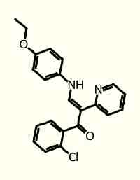 CCOc1ccc(N/C=C(/C(=O)c2ccccc2Cl)c2ccccn2)cc1